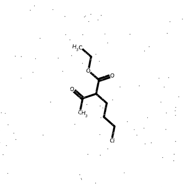 CCOC(=O)C(CCCCl)C(C)=O